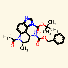 CC(=O)N1c2ccc3ncn(C(=O)OC(C)(C)C)c3c2[C@@H](NC(=O)OCc2ccccc2)C[C@H]1C